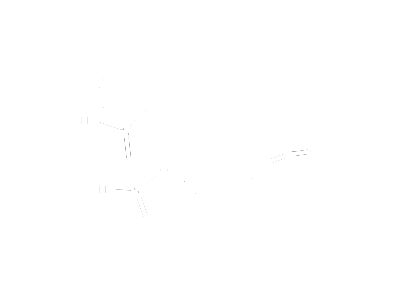 O.O.O.O.O.O.O=[N+]([O-])O.O=[N+]([O-])O.[O]=[U]=[O]